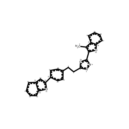 Cc1c(-c2nnc(CCc3ccc(-c4cc5ccccc5o4)cc3)o2)oc2ccccc12